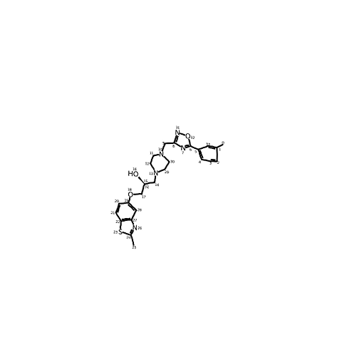 Cc1cccc(-c2nc(CN3CCN(C[C@H](O)COc4ccc5sc(C)nc5c4)CC3)no2)c1